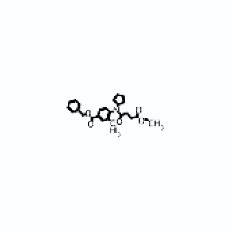 CCOC(=O)CCC(=O)N(c1ccc(C(=O)OCc2ccccc2)cc1C)C1CCCC1